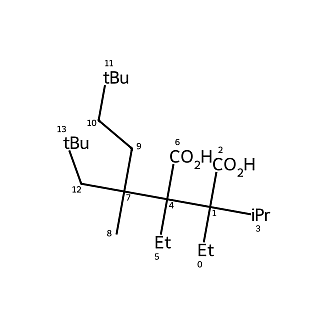 CCC(C(=O)O)(C(C)C)C(CC)(C(=O)O)C(C)(CCC(C)(C)C)CC(C)(C)C